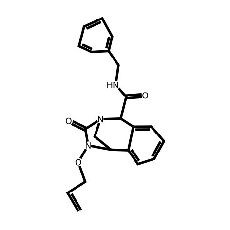 C=CCON1C(=O)N2CC1c1ccccc1C2C(=O)NCc1ccccc1